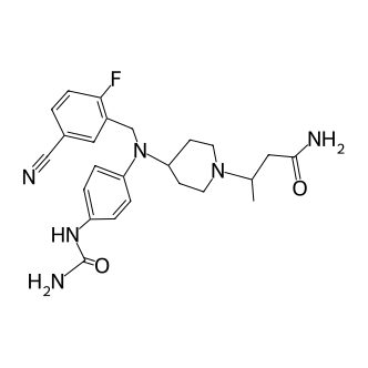 CC(CC(N)=O)N1CCC(N(Cc2cc(C#N)ccc2F)c2ccc(NC(N)=O)cc2)CC1